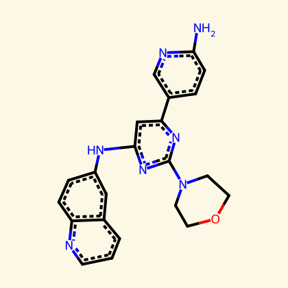 Nc1ccc(-c2cc(Nc3ccc4ncccc4c3)nc(N3CCOCC3)n2)cn1